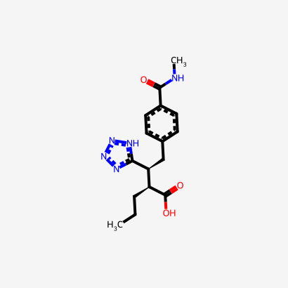 CCC[C@H](C(=O)O)[C@H](Cc1ccc(C(=O)NC)cc1)c1nnn[nH]1